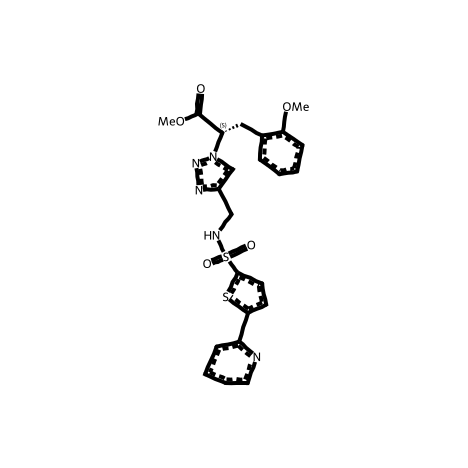 COC(=O)[C@H](Cc1ccccc1OC)n1cc(CNS(=O)(=O)c2ccc(-c3ccccn3)s2)nn1